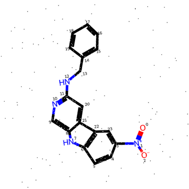 O=[N+]([O-])c1ccc2[nH]c3cnc(NCc4ccccc4)cc3c2c1